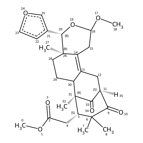 COC(=O)C[C@H]1C(C)(C)C(=O)[C@@H]2CC3=C4CC(OC)O[C@@H](c5ccoc5)[C@]4(C)CCC3[C@@]1(C)C2=O